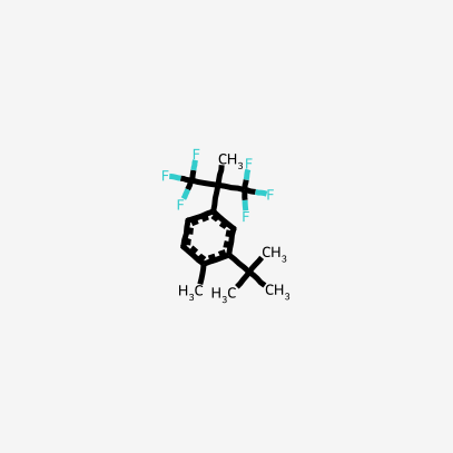 Cc1ccc(C(C)(C(F)(F)F)C(F)(F)F)cc1C(C)(C)C